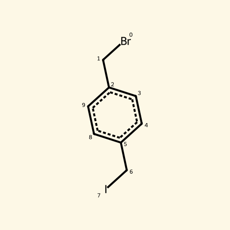 BrCc1ccc(CI)cc1